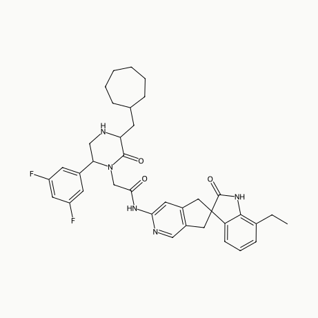 CCc1cccc2c1NC(=O)C21Cc2cnc(NC(=O)CN3C(=O)C(CC4CCCCCC4)NCC3c3cc(F)cc(F)c3)cc2C1